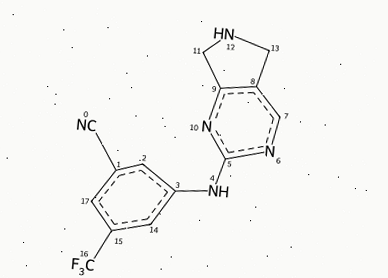 N#Cc1cc(Nc2ncc3c(n2)CNC3)cc(C(F)(F)F)c1